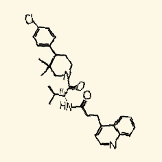 CC(C)[C@@H](NC(=O)CCc1ccnc2ccccc12)C(=O)N1CCC(c2ccc(Cl)cc2)C(C)(C)C1